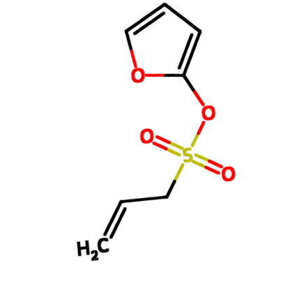 C=CCS(=O)(=O)Oc1ccco1